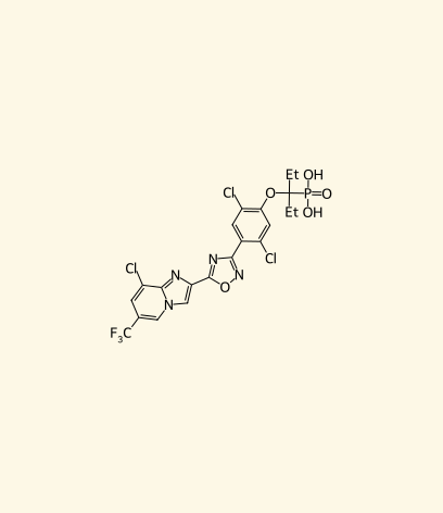 CCC(CC)(Oc1cc(Cl)c(-c2noc(-c3cn4cc(C(F)(F)F)cc(Cl)c4n3)n2)cc1Cl)P(=O)(O)O